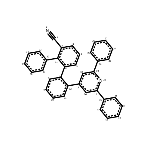 N#Cc1cccc(-c2ccccc2-c2cc(-c3ccccc3)nc(-c3ccccc3)c2)c1-c1ccccc1